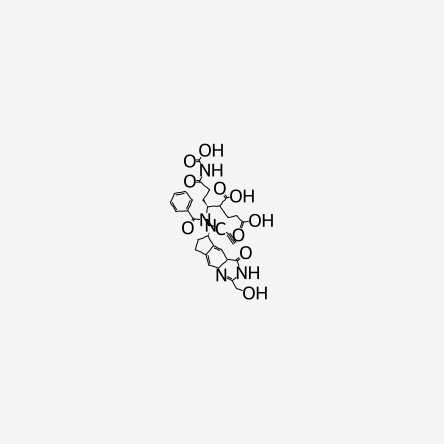 C#CCN([C@H]1CCC2=CC3N=C(CO)NC(=O)C3C=C21)N(C(=O)c1ccccc1)[C@@H](CCC(=O)NC(=O)O)C(CCC(=O)O)C(=O)O